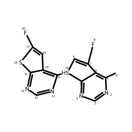 Cc1ncnc2c1C(F)=C[SH]2c1ncnc2sc(F)cc12